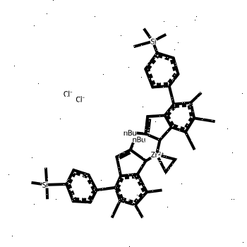 CCCCC1=Cc2c(-c3ccc([Si](C)(C)C)cc3)c(C)c(C)c(C)c2[CH]1[Zr+2]1([CH]2C(CCCC)=Cc3c(-c4ccc([Si](C)(C)C)cc4)c(C)c(C)c(C)c32)[CH2][CH2]1.[Cl-].[Cl-]